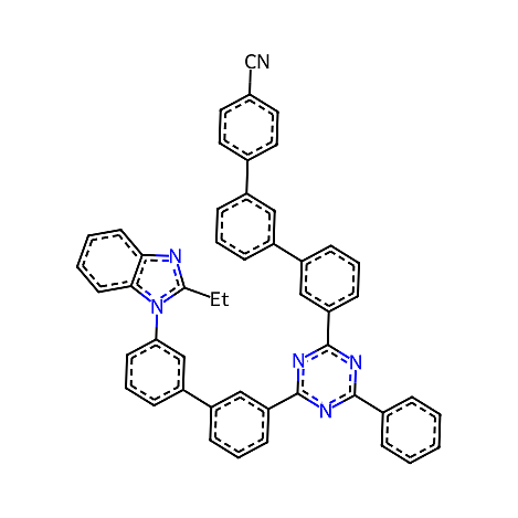 CCc1nc2ccccc2n1-c1cccc(-c2cccc(-c3nc(-c4ccccc4)nc(-c4cccc(-c5cccc(-c6ccc(C#N)cc6)c5)c4)n3)c2)c1